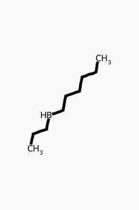 CCCBCCCCCC